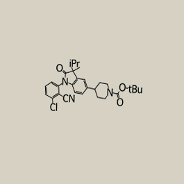 CC(C)C1(C)C(=O)N(c2cccc(Cl)c2C#N)c2ccc(C3CCN(C(=O)OC(C)(C)C)CC3)cc21